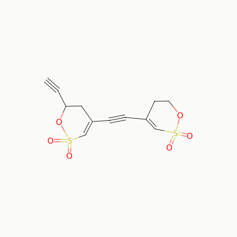 C#CC1CC(C#CC2=CS(=O)(=O)OCC2)=CS(=O)(=O)O1